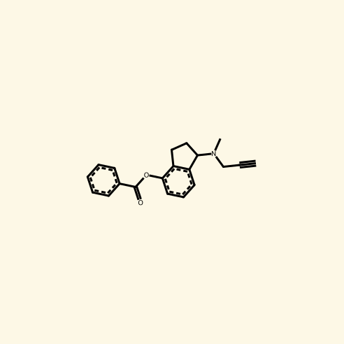 C#CCN(C)C1CCc2c(OC(=O)c3ccccc3)cccc21